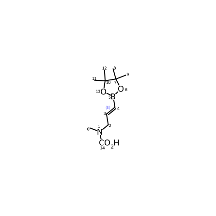 CN(C/C=C/B1OC(C)(C)C(C)(C)O1)C(=O)O